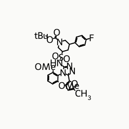 COc1cccc(OC)c1-n1c(NS(=O)(=O)C2CC(c3ccc(F)cc3)CN(C(=O)OC(C)(C)C)C2)nnc1-c1ccc(C)o1